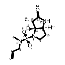 C=CCN(C)S(=O)(=O)N1CC[C@@H]2NC(=O)[C@@H](C)[C@H]21